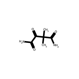 CC(C)(C(N)=O)C(=O)C(N)=O